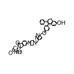 O=C1CCC(N2Cc3cc(N4CCN(Cc5ccc(COc6ccc([C@@H]7c8ccc(O)cc8CC[C@@H]7c7ccccc7)cc6)nn5)CC4)ccc3C2=O)C(=O)N1